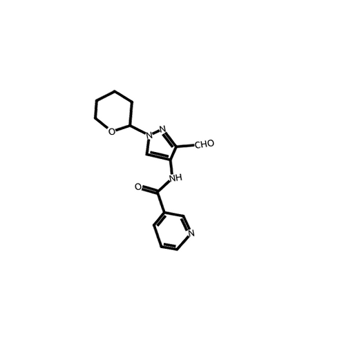 O=Cc1nn(C2CCCCO2)cc1NC(=O)c1cccnc1